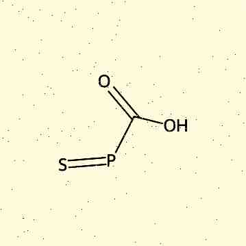 O=C(O)P=S